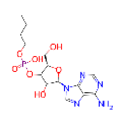 CCCCOP(=O)(O)OC1C(O)[C@H](n2cnc3c(N)ncnc32)O[C@@H]1CO